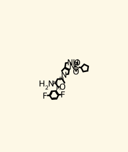 N[C@@H]1C[C@@H](N2CC3=C(C2)N(S(=O)(=O)C2CCCC2)NC3)CO[C@@H]1c1cc(F)ccc1F